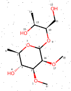 CO[C@H]1[C@H](O)[C@@H](C)OC(O[C@H](CO)[C@H](C)O)[C@H]1OC